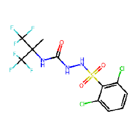 CC(NC(=O)NNS(=O)(=O)c1c(Cl)cccc1Cl)(C(F)(F)F)C(F)(F)F